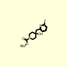 CC(C)(C)OC(=O)N1CCC(O)(Cc2cccc(F)n2)CC1